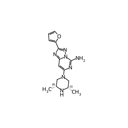 C[C@@H]1CN(c2cc3nc(-c4ccco4)nn3c(N)n2)C[C@H](C)N1